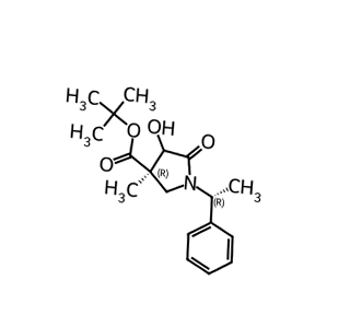 C[C@H](c1ccccc1)N1C[C@@](C)(C(=O)OC(C)(C)C)C(O)C1=O